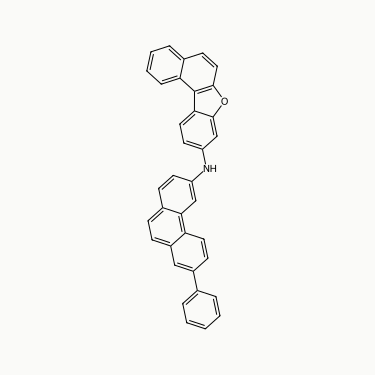 c1ccc(-c2ccc3c(ccc4ccc(Nc5ccc6c(c5)oc5ccc7ccccc7c56)cc43)c2)cc1